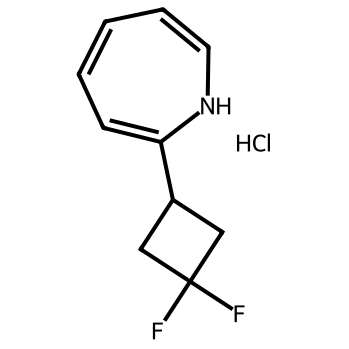 Cl.FC1(F)CC(C2=CC=CC=CN2)C1